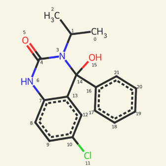 CC(C)N1C(=O)Nc2ccc(Cl)cc2C1(O)c1ccccc1